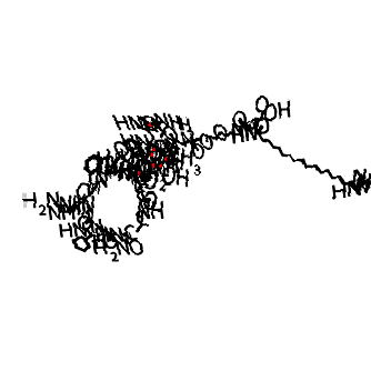 CCCC[C@H](NC(=O)[C@H](Cc1c[nH]cn1)NC(=O)[C@H](CN)NC(=O)[C@@H](CO)NC(=O)[C@H](CCC(N)=O)NC(=O)CNC(=O)COCCOCCNC(=O)[C@H](CCC(=O)O)NC(=O)CCCCCCCCCCCCCCCc1nnn[nH]1)C(=O)N[C@H]1CCC(=O)NCCCC[C@@H](C(N)=O)NC(=O)[C@H](Cc2c[nH]c3ccccc23)NC(=O)[C@H](CCCNC(=N)N)NC(=O)[C@@H](Cc2ccccc2)NC(=O)[C@@H]2C[C@@H](O)CN2C1=O